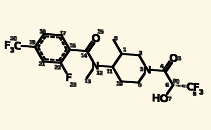 CC1CN(C(=O)[C@@H](O)C(F)(F)F)CCC1N(C)C(=O)c1ccc(C(F)(F)F)cc1F